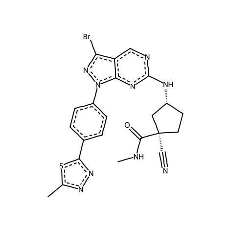 CNC(=O)[C@]1(C#N)CC[C@@H](Nc2ncc3c(Br)nn(-c4ccc(-c5nnc(C)s5)cc4)c3n2)C1